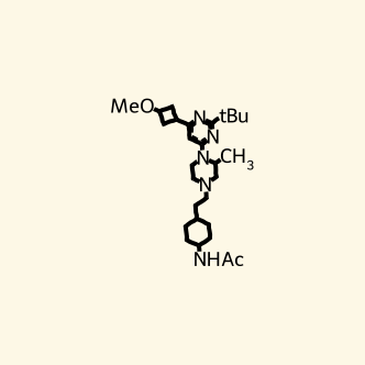 COC1CC(c2cc(N3CCN(CCC4CCC(NC(C)=O)CC4)CC3C)nc(C(C)(C)C)n2)C1